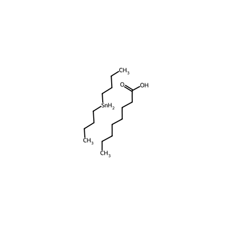 CCCCCCCC(=O)O.CCC[CH2][SnH2][CH2]CCC